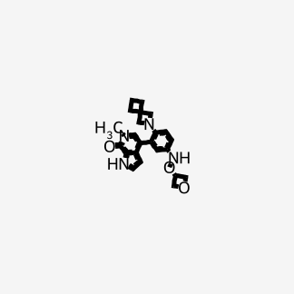 Cn1cc(-c2cc(NOC3COC3)ccc2N2CC3(CCC3)C2)c2cc[nH]c2c1=O